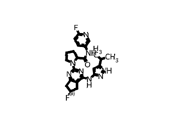 CC(C)c1cc(Nc2nc(N3CCCC3C(=O)Nc3ccc(F)nc3)nc3c2C[C@@H](F)C3)n[nH]1